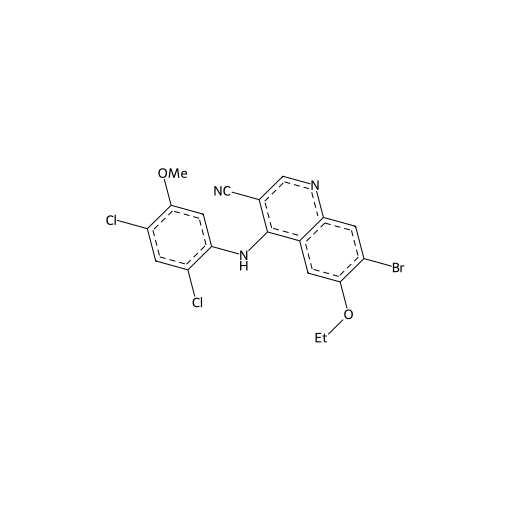 CCOc1cc2c(Nc3cc(OC)c(Cl)cc3Cl)c(C#N)cnc2cc1Br